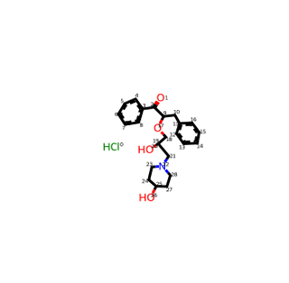 Cl.O=C(c1ccccc1)C(Cc1ccccc1)OCC(O)CN1CCC(O)CC1